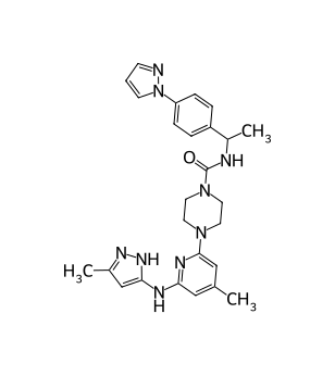 Cc1cc(Nc2cc(C)n[nH]2)nc(N2CCN(C(=O)NC(C)c3ccc(-n4cccn4)cc3)CC2)c1